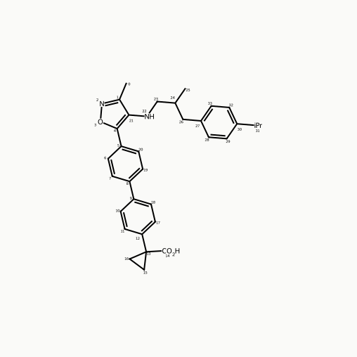 Cc1noc(-c2ccc(-c3ccc(C4(C(=O)O)CC4)cc3)cc2)c1NCC(C)Cc1ccc(C(C)C)cc1